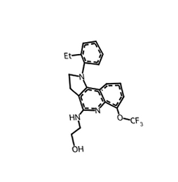 CCc1ccccc1N1CCc2c(NCCO)nc3c(OC(F)(F)F)cccc3c21